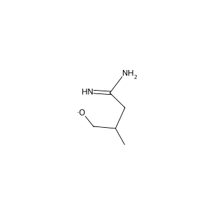 CC(C[O])CC(=N)N